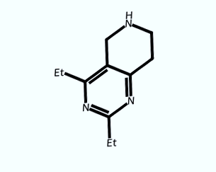 CCc1nc(CC)c2c(n1)CCNC2